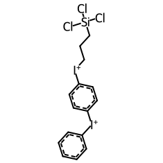 Cl[Si](Cl)(Cl)CCC[I+]c1ccc([I+]c2ccccc2)cc1